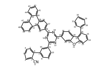 N#Cc1ccccc1-c1cccc(-c2nc(-c3ccc4c(c3)oc3cccc(-c5ccccc5)c34)nc(-c3ccc4c5ccccc5c5ccccc5c4c3)n2)c1